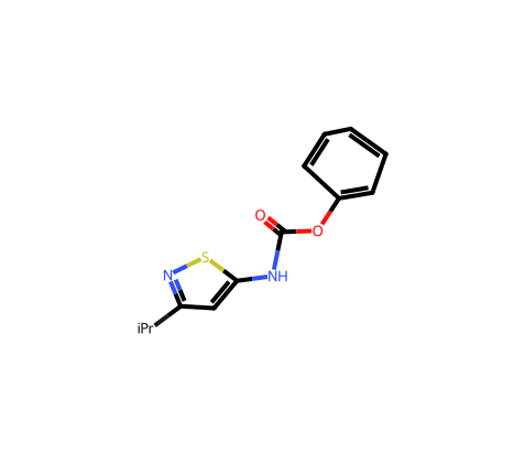 CC(C)c1cc(NC(=O)Oc2ccccc2)sn1